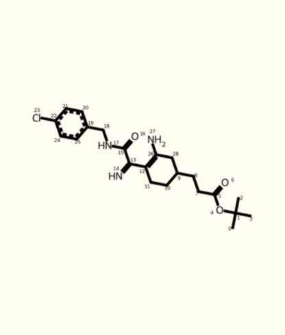 CC(C)(C)OC(=O)CCC1CCC(C(=N)C(=O)NCc2ccc(Cl)cc2)=C(N)C1